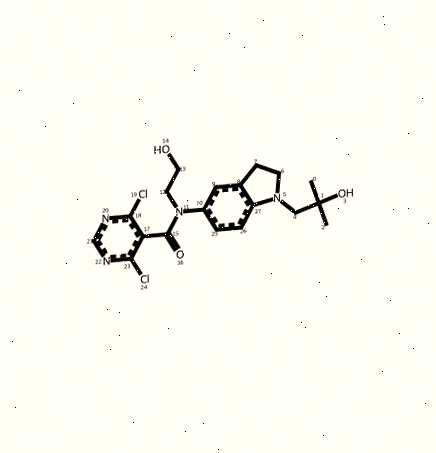 CC(C)(O)CN1CCc2cc(N(CCO)C(=O)c3c(Cl)ncnc3Cl)ccc21